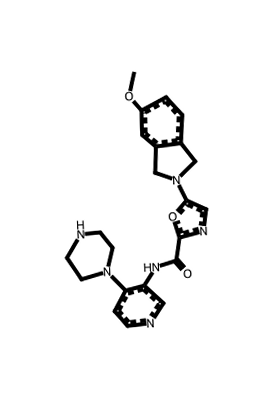 COc1ccc2c(c1)CN(c1cnc(C(=O)Nc3cnccc3N3CCNCC3)o1)C2